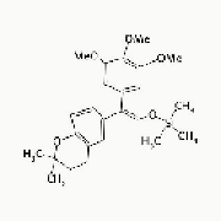 COc1cc(C(=CO[Si](C)(C)C)c2ccc3c(c2)CCC(C)(C)O3)cc(OC)c1OC